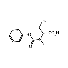 CC(C)CC(C(=O)O)N(C)C(=O)Oc1ccccc1